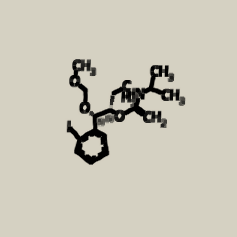 C=C(NC(C)C)O[C@@H](CC)[C@@H](OCOC)c1ccccc1I